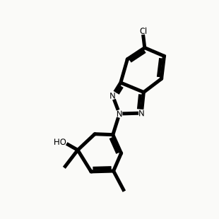 CC1=CC(C)(O)CC(n2nc3ccc(Cl)cc3n2)=C1